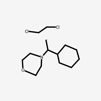 ClCCCl.[CH2]C(C1CCCCC1)N1CCOCC1